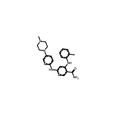 Cc1ccccc1Nc1cc(Nc2ccc(N3CCN(C)CC3)cn2)ncc1C(N)=O